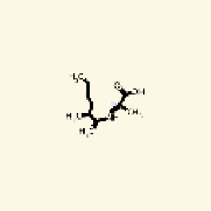 C=C(N/C=C(\C)C(=O)O)C(C)CCCC